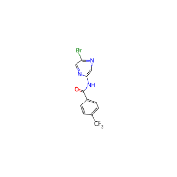 O=C(Nc1cnc(Br)cn1)c1ccc(C(F)(F)F)cc1